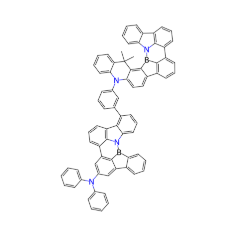 CC1(C)c2ccccc2N(c2cccc(-c3cccc4c3c3cccc5c3n4B3c4ccccc4-c4cc(N(c6ccccc6)c6ccccc6)cc-5c43)c2)c2ccc3c(c21)B1c2c-3cccc2-c2cccc3c4ccccc4n1c23